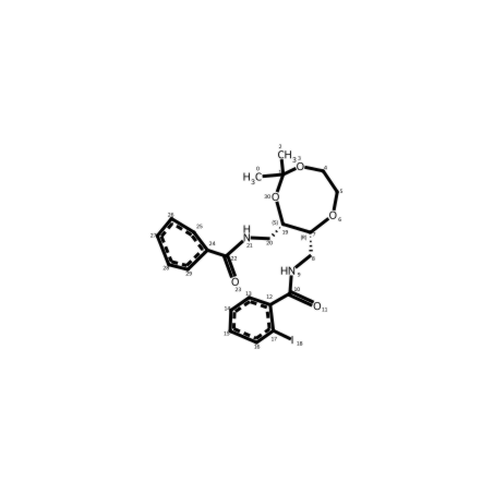 CC1(C)OCCO[C@H](CNC(=O)c2ccccc2I)[C@H](CNC(=O)c2ccccc2)O1